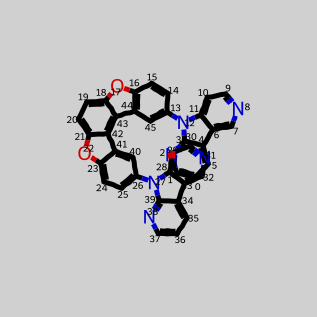 c1cnc2c(c1)c1cnccc1n2-c1ccc2oc3ccc4oc5ccc(-n6c7ccncc7c7cccnc76)cc5c4c3c2c1